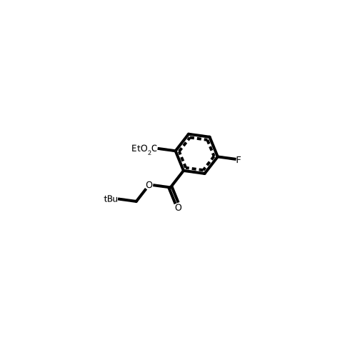 CCOC(=O)c1ccc(F)cc1C(=O)OCC(C)(C)C